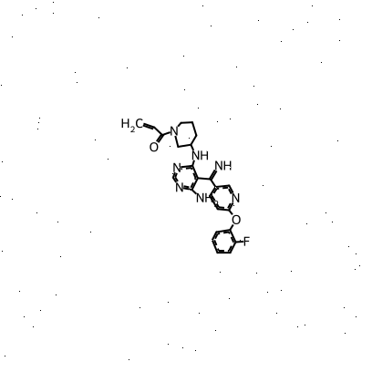 C=CC(=O)N1CCCC(Nc2ncnc(N)c2C(=N)c2ccc(Oc3ccccc3F)nc2)C1